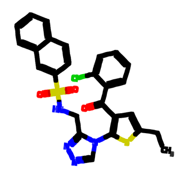 CCc1cc(C(=O)c2ccccc2Cl)c(-n2cnnc2CNS(=O)(=O)c2ccc3ccccc3c2)s1